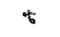 O=C([O-])[C@@H](CCc1ccccc1)N1CCCC1.[K+]